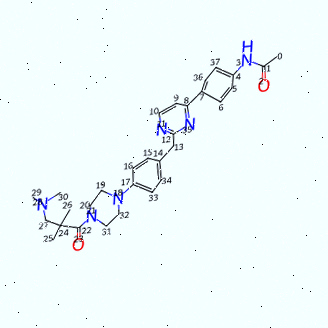 CC(=O)Nc1ccc(-c2ccnc(Cc3ccc(N4CCN(C(=O)C(C)(C)CN(C)C)CC4)cc3)n2)cc1